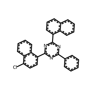 Clc1ccc(-c2nc(-c3ccccc3)nc(-c3cccc4ccccc34)n2)c2ccccc12